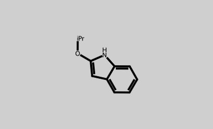 CC(C)Oc1cc2ccccc2[nH]1